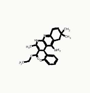 CCOC(=O)C1=C(C)Nc2nc3c(c(N)c2C1c1ccccc1Cl)CC(C)(C)CC3